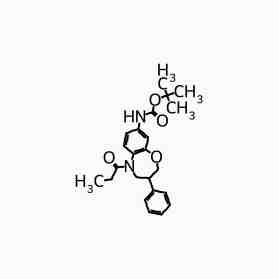 CCC(=O)N1CC(c2ccccc2)COc2cc(NC(=O)OC(C)(C)C)ccc21